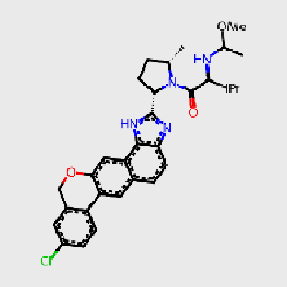 COC(C)NC(C(=O)N1[C@@H](C)CC[C@H]1c1nc2ccc3cc4c(cc3c2[nH]1)OCc1cc(Cl)ccc1-4)C(C)C